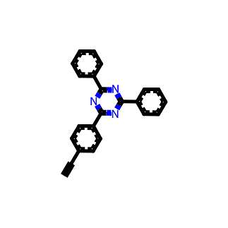 C#Cc1ccc(-c2nc(-c3ccccc3)nc(-c3ccccc3)n2)cc1